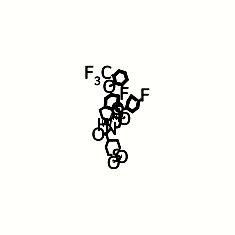 O=C(C1CCS(=O)(=O)CC1)N1CC[C@@]2(S(=O)(=O)c3ccc(F)cc3)c3ccc(Oc4c(F)cccc4C(F)(F)F)cc3CC[C@@H]12